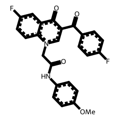 COc1ccc(NC(=O)Cn2cc(C(=O)c3ccc(F)cc3)c(=O)c3cc(F)ccc32)cc1